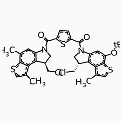 Cc1cc2c(c3c(C)csc13)[C@H](CCl)CN2C(=O)c1ccc(C(=O)N2C[C@@H](CCl)c3c2cc(OC(C)(C)C)c2scc(C)c32)s1